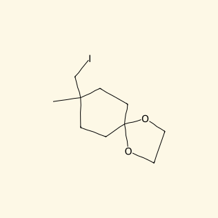 CC1(CI)CCC2(CC1)OCCO2